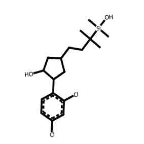 CC(C)(CCC1CC(O)C(c2ccc(Cl)cc2Cl)C1)[Si](C)(C)O